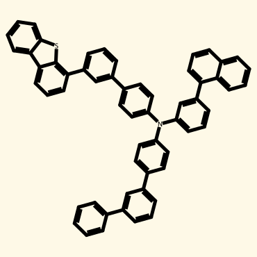 c1ccc(-c2cccc(-c3ccc(N(c4ccc(-c5cccc(-c6cccc7c6sc6ccccc67)c5)cc4)c4cccc(-c5cccc6ccccc56)c4)cc3)c2)cc1